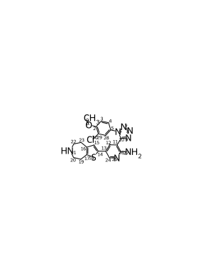 COc1ccc(-n2nnnc2-c2cc(-c3cc4c(s3)CCNCC4)cnc2N)cc1Cl